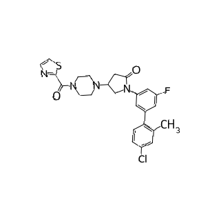 Cc1cc(Cl)ccc1-c1cc(F)cc(N2CC(N3CCN(C(=O)c4nccs4)CC3)CC2=O)c1